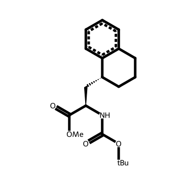 COC(=O)[C@@H](C[C@H]1CCCc2ccccc21)NC(=O)OC(C)(C)C